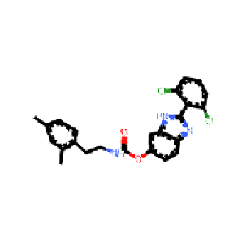 Cc1ccc(CCNC(=O)Oc2ccc3nc(-c4c(Cl)cccc4Cl)[nH]c3c2)c(C)c1